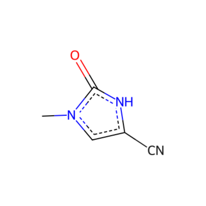 Cn1cc(C#N)[nH]c1=O